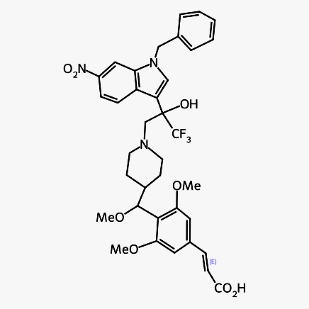 COc1cc(/C=C/C(=O)O)cc(OC)c1C(OC)C1CCN(CC(O)(c2cn(Cc3ccccc3)c3cc([N+](=O)[O-])ccc23)C(F)(F)F)CC1